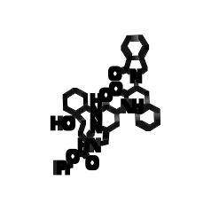 CC(C)OC(=O)CCCC1(O)CCCCC1NC(=O)C(Cc1c[nH]cn1)NC(=O)C(Cc1ccccc1)N1Cc2ccccc2C1=O